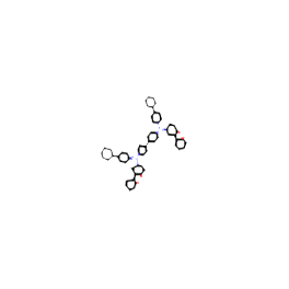 c1ccc2c(c1)oc1ccc(N(c3ccc(-c4ccc(N(c5ccc(C6CCCCC6)cc5)c5ccc6oc7ccccc7c6c5)cc4)cc3)c3ccc(C4CCCCC4)cc3)cc12